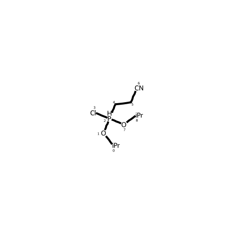 CC(C)O[PH](Cl)(CCC#N)OC(C)C